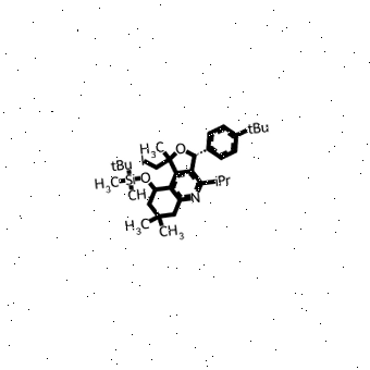 CC(C)c1nc2c(c3c1[C@@H](c1ccc(C(C)(C)C)cc1)OC3(C)CI)C(O[Si](C)(C)C(C)(C)C)CC(C)(C)C2